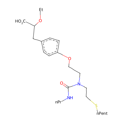 CCCCCSCCN(CCOc1ccc(CC(OCC)C(=O)O)cc1)C(=O)NCCC